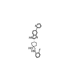 O[C@]1(CNc2ccccc2F)CC[C@@H](c2nc3cc(-c4ccccn4)ccc3[nH]2)CC1